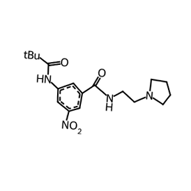 CC(C)(C)C(=O)Nc1cc(C(=O)NCCN2CCCC2)cc([N+](=O)[O-])c1